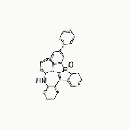 O=P1(c2cccc(-c3ccccc3)c2)C2=C(C3=CC=CCC31)c1ccccc1Nc1ccccc12